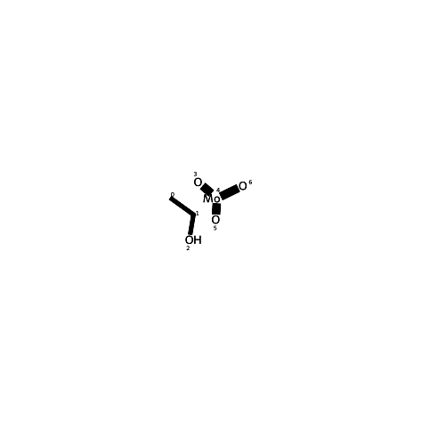 CCO.[O]=[Mo](=[O])=[O]